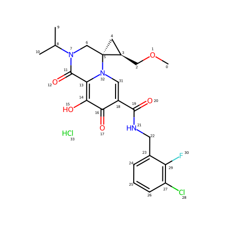 COC[C@@H]1C[C@]12CN(C(C)C)C(=O)c1c(O)c(=O)c(C(=O)NCc3cccc(Cl)c3F)cn12.Cl